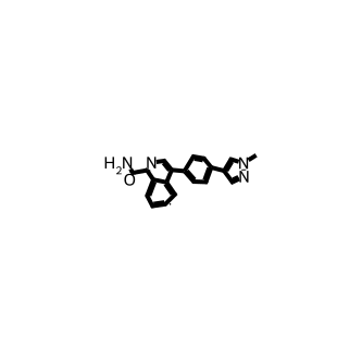 Cn1cc(-c2ccc(-c3cnc(C(N)=O)c4cc[c]cc34)cc2)cn1